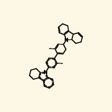 CC1=CC(N2C3=C(CCC=C3)C3C=CCCC32)CC=C1c1ccc(-n2c3c(c4ccccc42)CCCC3)cc1C